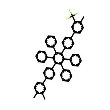 Cc1ccc(-c2ccc(-c3c(-c4ccccc4)c(-c4ccccc4)c(-c4ccc(-c5ccc(C)c(C(F)(F)F)c5)cc4)c(-c4ccccc4)c3-c3ccccc3)cc2)cc1C